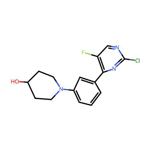 OC1CCN(c2cccc(-c3nc(Cl)ncc3F)c2)CC1